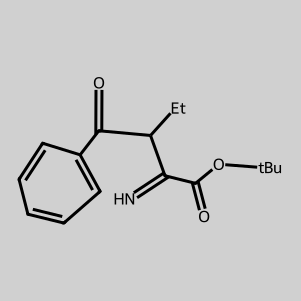 CCC(C(=N)C(=O)OC(C)(C)C)C(=O)c1ccccc1